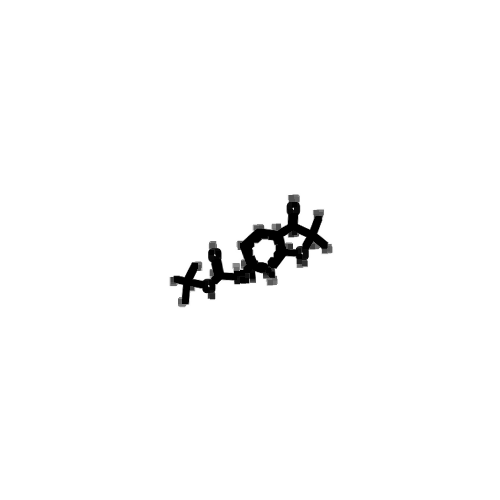 CC(C)(C)OC(=O)Nc1ccc2c(n1)OC(C)(C)C2=O